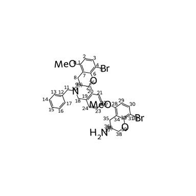 COc1ccc(Br)c2c1C[C@@H](N(Cc1ccccc1)Cc1ccccc1)CO2.COc1ccc(Br)c2c1C[C@@H](N)CO2